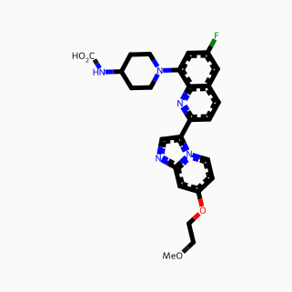 COCCOc1ccn2c(-c3ccc4cc(F)cc(N5CCC(NC(=O)O)CC5)c4n3)cnc2c1